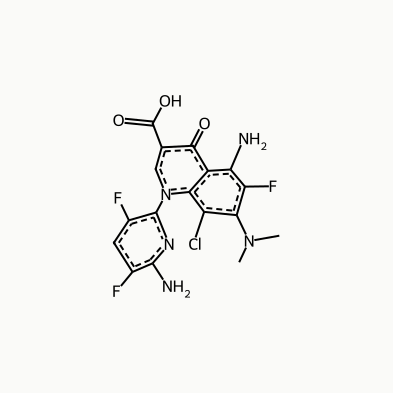 CN(C)c1c(F)c(N)c2c(=O)c(C(=O)O)cn(-c3nc(N)c(F)cc3F)c2c1Cl